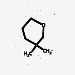 [CH2]C1(C)CCCOC1